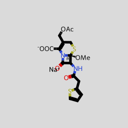 CO[C@]12SCC(COC(C)=O)=C(C(=O)[O-])N1C(=O)C2NC(=O)Cc1cccs1.[Na+]